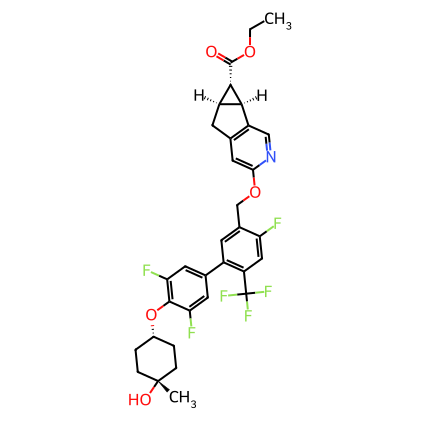 CCOC(=O)[C@H]1[C@@H]2Cc3cc(OCc4cc(-c5cc(F)c(O[C@H]6CC[C@@](C)(O)CC6)c(F)c5)c(C(F)(F)F)cc4F)ncc3[C@@H]21